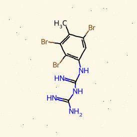 Cc1c(Br)cc(NC(=N)NC(=N)N)c(Br)c1Br